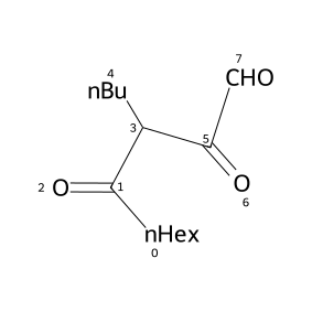 CCCCCCC(=O)C(CCCC)C(=O)C=O